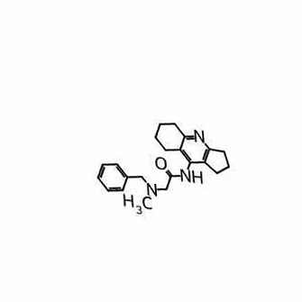 CN(CC(=O)Nc1c2c(nc3c1CCC3)CCCC2)Cc1ccccc1